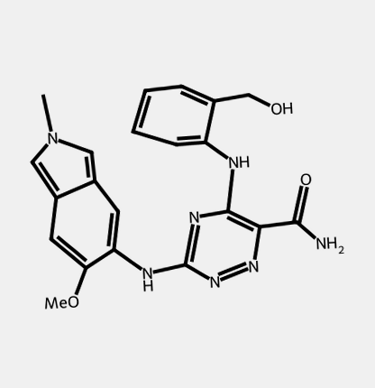 COc1cc2cn(C)cc2cc1Nc1nnc(C(N)=O)c(Nc2ccccc2CO)n1